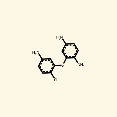 Nc1ccc(N)c(Sc2cc(N)ccc2Cl)c1